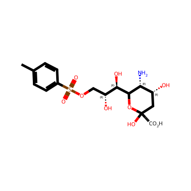 Cc1ccc(S(=O)(=O)OC[C@@H](O)[C@@H](O)C2OC(O)(C(=O)O)C[C@@H](O)[C@H]2N)cc1